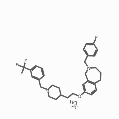 Cl.Cl.Fc1ccc(CN2CCCc3ccc(OCCC4CCN(Cc5cccc(C(F)(F)F)c5)CC4)cc3C2)cc1